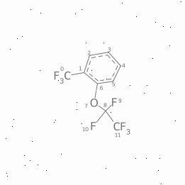 FC(F)(F)c1ccccc1OC(F)(F)C(F)(F)F